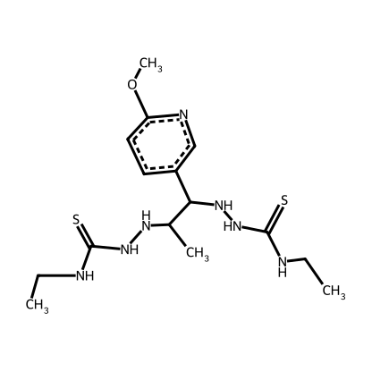 CCNC(=S)NNC(C)C(NNC(=S)NCC)c1ccc(OC)nc1